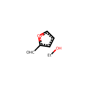 CCO.O=Cc1ccco1